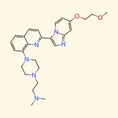 COCCOc1ccn2c(-c3ccc4cccc(N5CCN(CCN(C)C)CC5)c4n3)cnc2c1